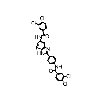 O=C(Nc1ccc(-c2nc3cc(NC(=O)c4ccc(Cl)c(Cl)c4)cnc3[nH]2)cc1)c1ccc(Cl)c(Cl)c1